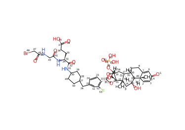 C[C@]12C=CC(=O)C=C1CC[C@@H]1[C@@H]2[C@@H](O)C[C@@]2(C)[C@H]1C[C@H]1O[C@@H](c3ccc(CC4CCC(NC(=O)[C@H](CCC(=O)O)NC(=O)CNC(=O)CBr)CC4)cc3F)O[C@]12C(=O)COP(=O)(O)O